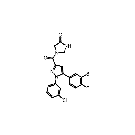 O=C1CN(C(=O)c2cc(-c3ccc(F)c(Br)c3)n(-c3cccc(Cl)c3)n2)CN1